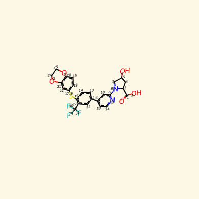 O=C(O)C1CC(O)CN1c1cc(-c2ccc(Sc3ccc4c(c3)OCCO4)c(C(F)(F)F)c2)ccn1